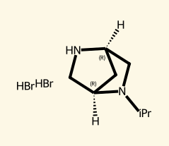 Br.Br.CC(C)N1C[C@H]2C[C@@H]1CN2